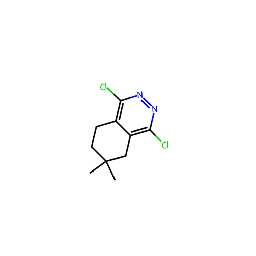 CC1(C)CCc2c(Cl)nnc(Cl)c2C1